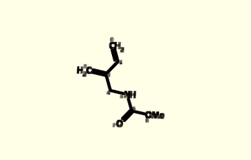 C=CC(=C)CNC(=O)OC